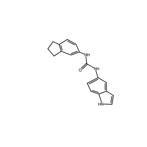 O=C(Nc1ccc2c(c1)CCC2)Nc1ccc2[nH]ccc2c1